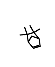 CC1(C)C2C=CC(C2)C1(C)C